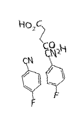 N#Cc1ccc(F)cc1.N#Cc1ccc(F)cc1.O=C(O)CCC(=O)O